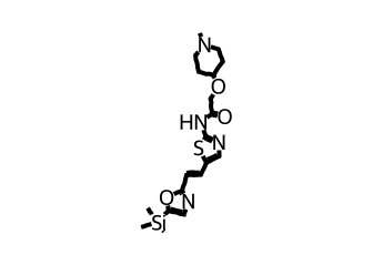 CN1CCC(OCC(=O)Nc2ncc(C=Cc3ncc([Si](C)(C)C)o3)s2)CC1